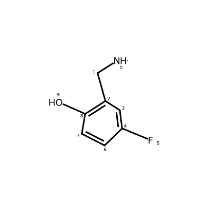 [NH]Cc1cc(F)ccc1O